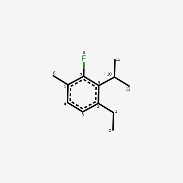 CCc1ccc(C)c(F)c1C(C)C